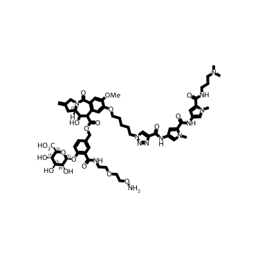 C=C1C[C@H]2C(O)C(C(=O)OCc3ccc(O[C@@H]4O[C@H](C(=O)O)[C@@H](O)[C@H](O)[C@H]4O)c(C(=O)NCCOCCON)c3)c3cc(OCCCCCn4cc(C(=O)Nc5cc(C(=O)Nc6cc(C(=O)NCCCN(C)C)n(C)c6)n(C)c5)nn4)c(OC)cc3C(=O)N2C1